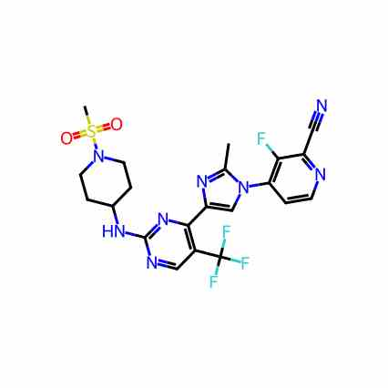 Cc1nc(-c2nc(NC3CCN(S(C)(=O)=O)CC3)ncc2C(F)(F)F)cn1-c1ccnc(C#N)c1F